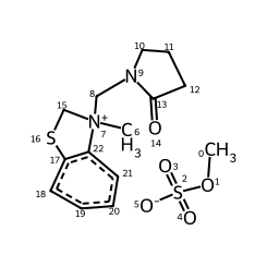 COS(=O)(=O)[O-].C[N+]1(CN2CCCC2=O)CSc2ccccc21